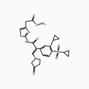 NOC(=O)Cc1csc(NC(=O)/C(=C/[C@H]2CCC(=O)C2)c2ccc(S(=O)(=O)C3CC3)c(C3CC3)c2)n1